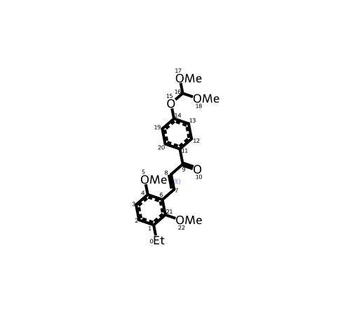 CCc1ccc(OC)c(/C=C/C(=O)c2ccc(OC(OC)OC)cc2)c1OC